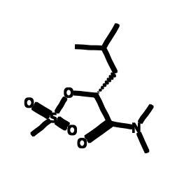 CC(C)C[C@@H](OS(C)(=O)=O)C(=O)N(C)C